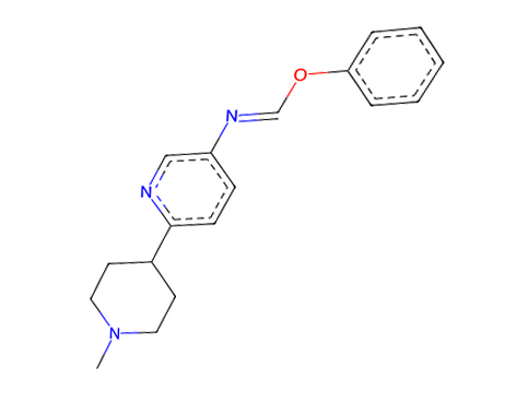 CN1CCC(c2ccc(/N=C/Oc3ccccc3)cn2)CC1